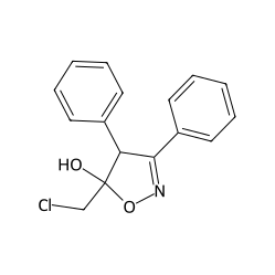 OC1(CCl)ON=C(c2ccccc2)C1c1ccccc1